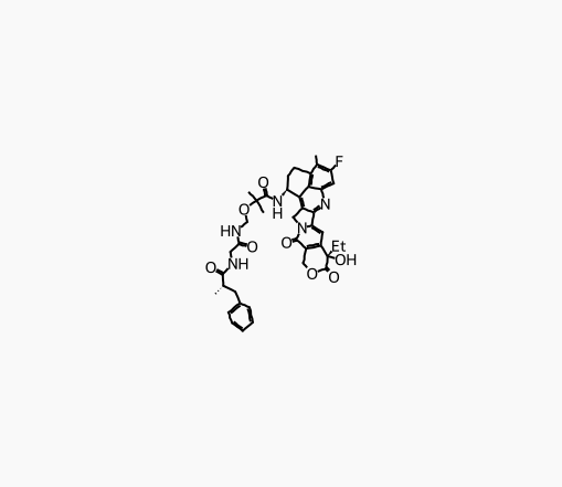 CC[C@@]1(O)C(=O)OCc2c1cc1n(c2=O)Cc2c-1nc1cc(F)c(C)c3c1c2[C@@H](NC(=O)C(C)(C)OCNC(=O)CNC(=O)[C@@H](C)Cc1ccccc1)CC3